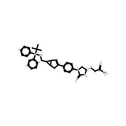 CC(C)(C)[Si](OCC1C2C=C(c3ccc(N4C[C@H](CCC(N)=O)OC4=O)cc3)CC21)(c1ccccc1)c1ccccc1